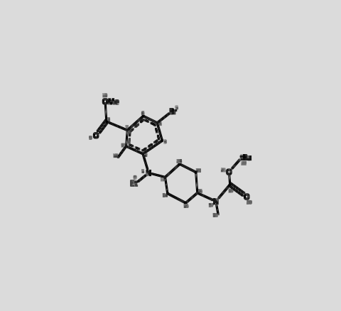 CCN(c1cc(Br)cc(C(=O)OC)c1C)C1CCC(N(C)C(=O)OC(C)(C)C)CC1